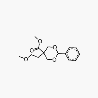 COCCC1(C(=O)OC)COC(c2ccccc2)OC1